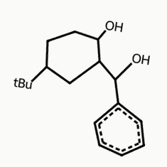 CC(C)(C)C1CCC(O)C(C(O)c2ccccc2)C1